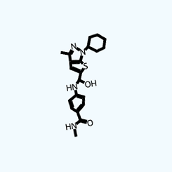 CNC(=O)c1ccc(NC(O)c2cc3c(C)nn(C4CCCCC4)c3s2)cc1